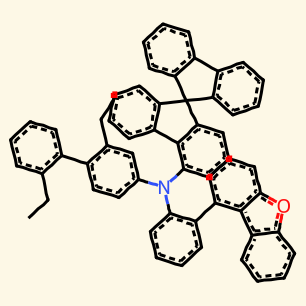 CCc1ccccc1-c1ccc(N(c2ccccc2-c2cccc3oc4ccccc4c23)c2cccc3c2-c2ccccc2C32c3ccccc3-c3ccccc32)cc1CC